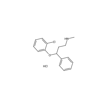 CNCCC(Oc1ccccc1Cl)c1ccccc1.Cl